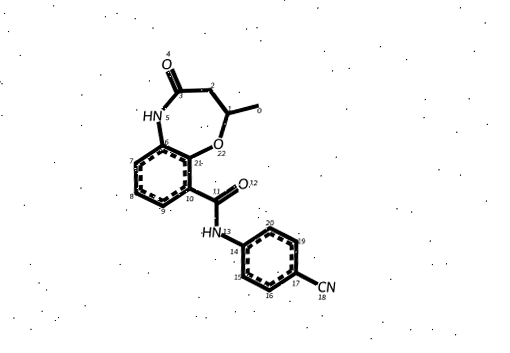 CC1CC(=O)Nc2cccc(C(=O)Nc3ccc(C#N)cc3)c2O1